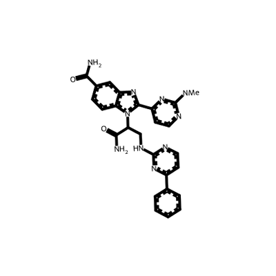 CNc1nccc(-c2nc3cc(C(N)=O)ccc3n2C(CNc2nccc(-c3ccccc3)n2)C(N)=O)n1